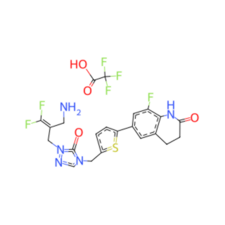 NCC(Cn1ncn(Cc2ccc(-c3cc(F)c4c(c3)CCC(=O)N4)s2)c1=O)=C(F)F.O=C(O)C(F)(F)F